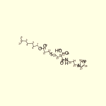 CC(C)CCCCCOC(=O)CCSCCC(C(=O)O)C(=O)NCCCn1ccnc1